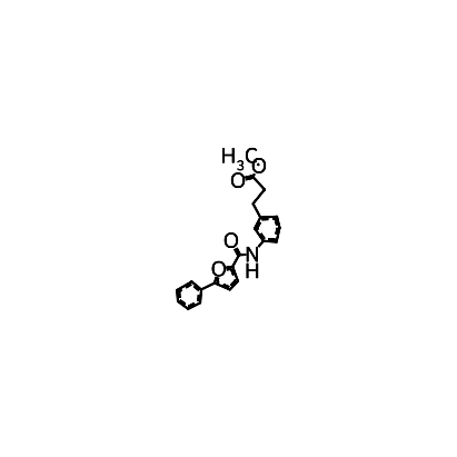 COC(=O)CCc1cccc(NC(=O)c2ccc(-c3ccccc3)o2)c1